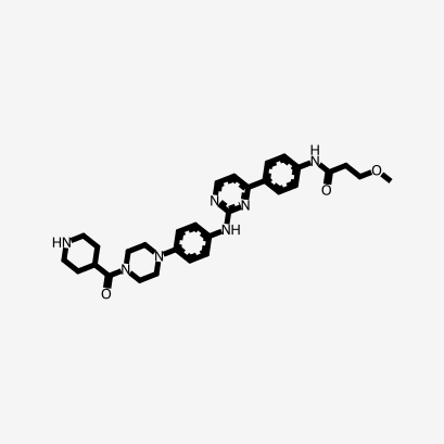 COCCC(=O)Nc1ccc(-c2ccnc(Nc3ccc(N4CCN(C(=O)C5CCNCC5)CC4)cc3)n2)cc1